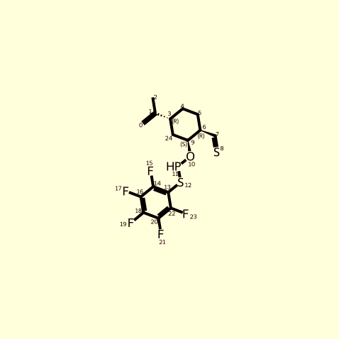 C=C(C)[C@@H]1CC[C@@H](C=S)[C@@H](OPSc2c(F)c(F)c(F)c(F)c2F)C1